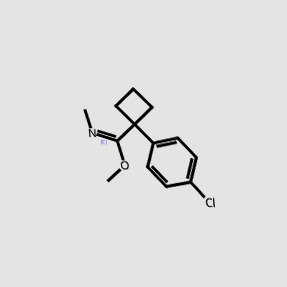 C/N=C(/OC)C1(c2ccc(Cl)cc2)CCC1